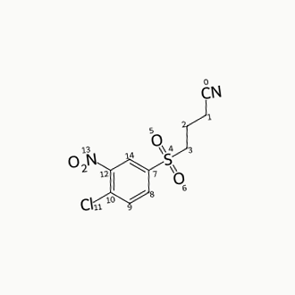 N#CCCCS(=O)(=O)c1ccc(Cl)c([N+](=O)[O-])c1